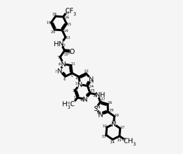 Cc1cn2c(-c3cnn(CC(=O)NCC4=CC(C(F)(F)F)CC=C4)c3)cnc2c(Nc2cc(CN3CCCC(C)C3)ns2)n1